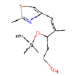 CC(=Cc1csc(C)n1)C(CCO)O[Si](C)(C)C(C)(C)C